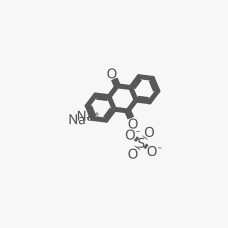 O=C1c2ccccc2C(=O)c2ccccc21.O=S(=O)([O-])[O-].[Na+].[Na+]